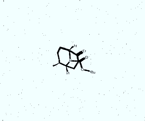 C[C@H]1CC[C@@H]2C(=O)CC[C@H]1N2C(=O)OC(C)(C)C